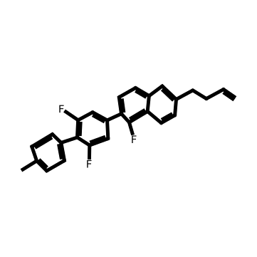 C=CCCc1ccc2c(F)c(-c3cc(F)c(-c4ccc(C)cc4)c(F)c3)ccc2c1